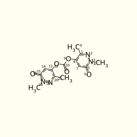 Cc1nn(C)c(=O)cc1OC(=O)Oc1cc(=O)n(C)nc1C